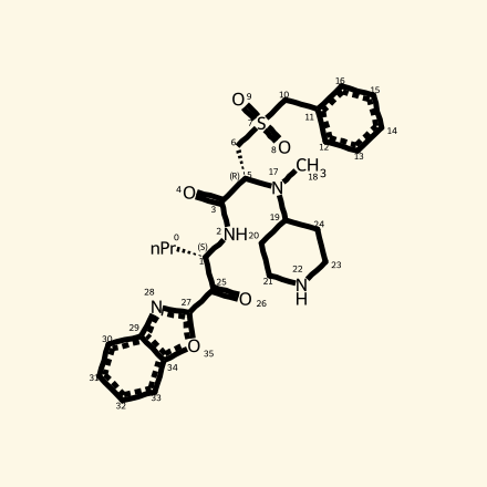 CCC[C@H](NC(=O)[C@H](CS(=O)(=O)Cc1ccccc1)N(C)C1CCNCC1)C(=O)c1nc2ccccc2o1